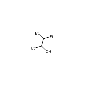 CC[C](CC)C(O)CC